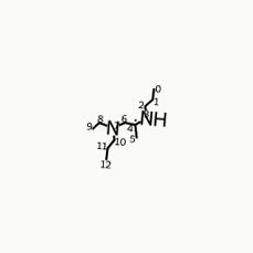 CCCN[C](C)CN(CC)CCC